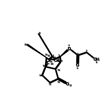 CC1C[C@@H](OC(=O)CO)C2CCCC3(CCC(=O)C23)C[C@@H]1C